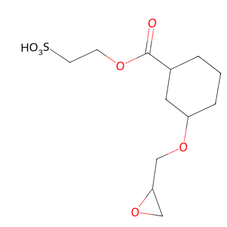 O=C(OCCS(=O)(=O)O)C1CCCC(OCC2CO2)C1